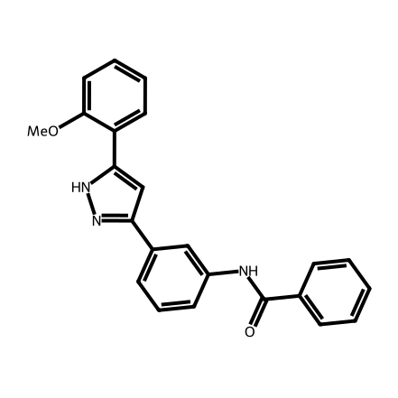 COc1ccccc1-c1cc(-c2cccc(NC(=O)c3ccccc3)c2)n[nH]1